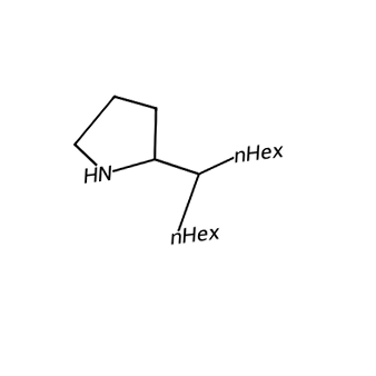 CCCCCCC(CCCCCC)C1CCCN1